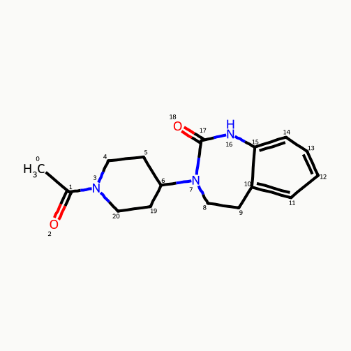 CC(=O)N1CCC(N2CCc3ccccc3NC2=O)CC1